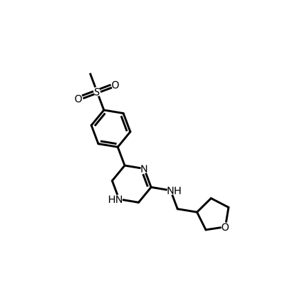 CS(=O)(=O)c1ccc(C2CNCC(NCC3CCOC3)=N2)cc1